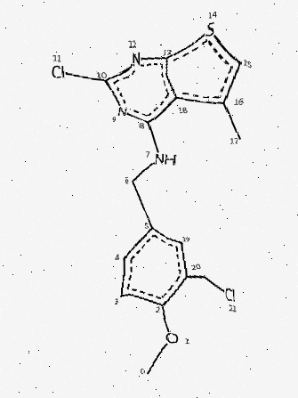 COc1ccc(CNc2nc(Cl)nc3scc(C)c23)cc1Cl